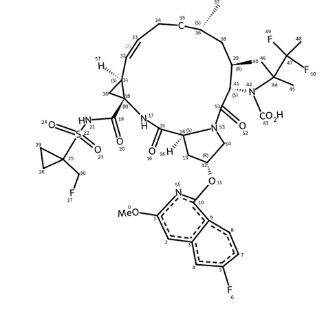 COc1cc2cc(F)ccc2c(O[C@@H]2C[C@H]3C(=O)N[C@]4(C(=O)NS(=O)(=O)C5(CF)CC5)C[C@H]4/C=C\CC[C@H](C)C[C@@H](C)[C@H](N(C(=O)O)C(C)(C)C(C)(F)F)C(=O)N3C2)n1